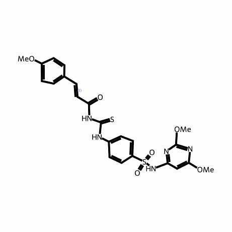 COc1ccc(/C=C/C(=O)NC(=S)Nc2ccc(S(=O)(=O)Nc3cc(OC)nc(OC)n3)cc2)cc1